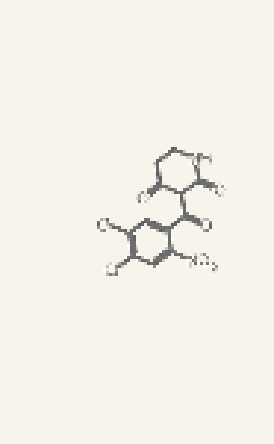 O=C1CCNC(=O)C1C(=O)c1cc(Cl)c(Cl)cc1[N+](=O)[O-]